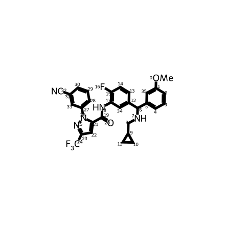 COc1cccc(C(NCC2CC2)c2ccc(F)c(NC(=O)c3cc(C(F)(F)F)nn3-c3cccc(C#N)c3)c2)c1